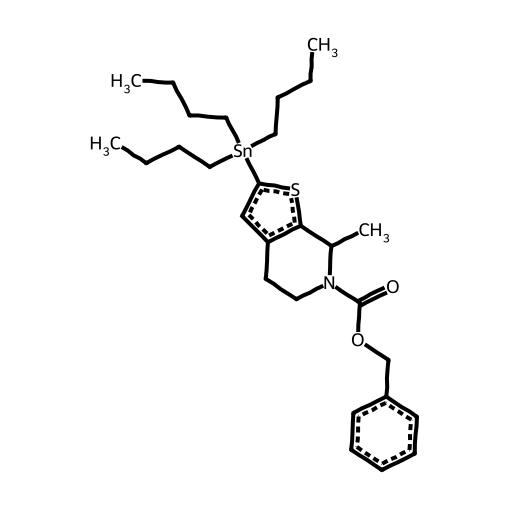 CCC[CH2][Sn]([CH2]CCC)([CH2]CCC)[c]1cc2c(s1)C(C)N(C(=O)OCc1ccccc1)CC2